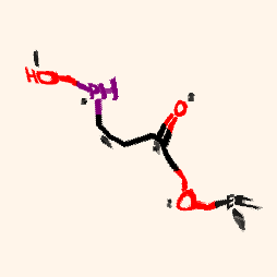 CCOC(=O)CPO